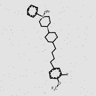 CCC[Si@]1(c2ccccc2)CC[C@H](C2CCC(CCCCc3ccc(OC(F)(F)F)c(F)c3)CC2)CC1